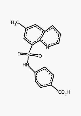 Cc1cc(S(=O)(=O)Nc2ccc(C(=O)O)cc2)c2ncccc2c1